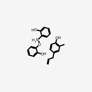 C=CCc1ccc(O)c(C)c1.Oc1ccccc1O[SiH2]c1ccccc1O